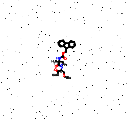 COC(=O)[C@H](COC(C)(C)C)NC(=O)[C@](C)(CC(C)C)NC(=O)OCC1c2ccccc2-c2ccccc21